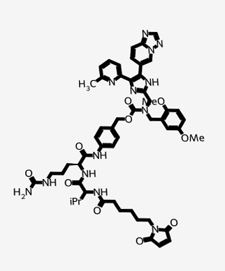 COc1ccc(OC)c(CN(Cc2nc(-c3cccc(C)n3)c(-c3ccc4ncnn4c3)[nH]2)C(=O)OCc2ccc(NC(=O)[C@H](CCCNC(N)=O)NC(=O)C(NC(=O)CCCCCN3C(=O)C=CC3=O)C(C)C)cc2)c1